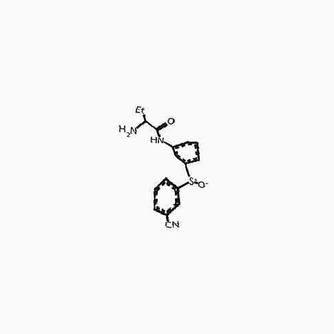 CCC(N)C(=O)Nc1cccc([S+]([O-])c2cccc(C#N)c2)c1